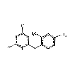 Cc1ccc(Sc2cc(Cl)nc([S])n2)c(C)c1